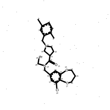 Cc1ccc(C)c(CN2CCC(C(=O)N(Cc3cc(Cl)c4c(c3)OCCCO4)CC(C)C)C2)c1